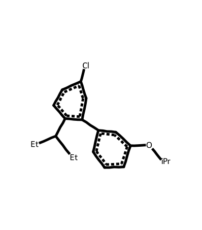 CCC(CC)c1ccc(Cl)cc1-c1cccc(OC(C)C)c1